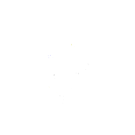 CC(=S)Nc1sccc1C(C)C